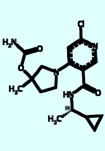 C[C@H](NC(=O)c1cnc(Cl)cc1N1CCC(C)(OC(N)=O)C1)C1CC1